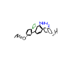 COc1ccc(Cl)c(-c2ccc(C(=O)O)c(N)c2)c1